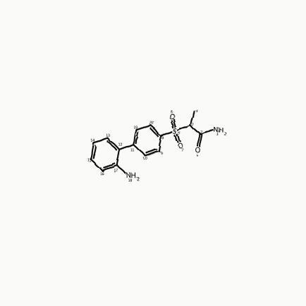 CC(C(N)=O)S(=O)(=O)c1ccc(-c2ccccc2N)cc1